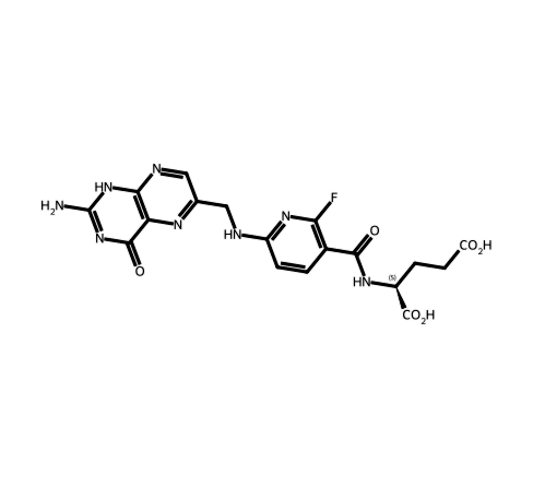 Nc1nc(=O)c2nc(CNc3ccc(C(=O)N[C@@H](CCC(=O)O)C(=O)O)c(F)n3)cnc2[nH]1